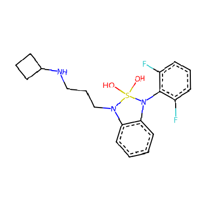 OS1(O)N(CCCNC2CCC2)c2ccccc2N1c1c(F)cccc1F